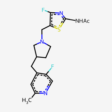 CC(=O)Nc1nc(F)c(CN2CCC(Cc3cc(C)ncc3F)C2)s1